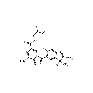 Cc1ccc(C(O)(C(N)=O)C(F)(F)F)cc1-c1cnc2c(N)nc(C(=O)NCC(C)CO)cn12